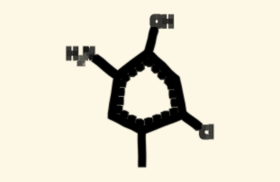 Cc1cc(N)c(O)cc1Cl